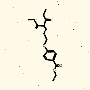 CCOC(=O)c1ccc(OCCCC(C(=O)CC)C(=O)CC)cc1